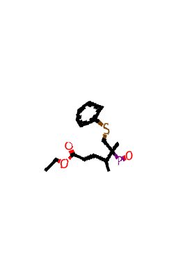 CCOC(=O)CCC(C)C(C)(CSc1ccccc1)P=O